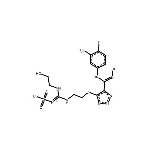 Bc1cc(N/C(=N\O)c2nonc2SCCN/C(=N/S(=O)(=O)CC)NCCO)ccc1F